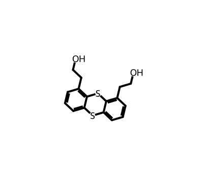 OCCc1cccc2c1Sc1c(CCO)cccc1S2